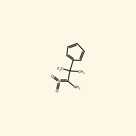 CC(C(N)=S(=O)=O)(c1ccccc1)C(F)(F)F